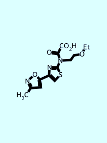 CCOCCN(C(=O)C(=O)O)c1nc(-c2cc(C)no2)cs1